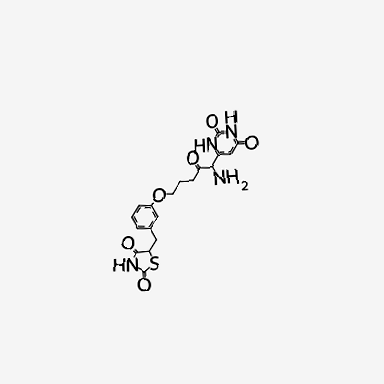 NC(C(=O)CCCOc1cccc(CC2SC(=O)NC2=O)c1)c1cc(=O)[nH]c(=O)[nH]1